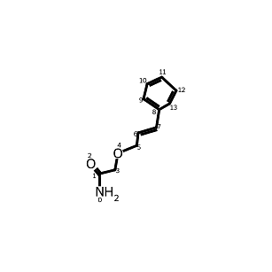 NC(=O)COC/C=C/c1ccccc1